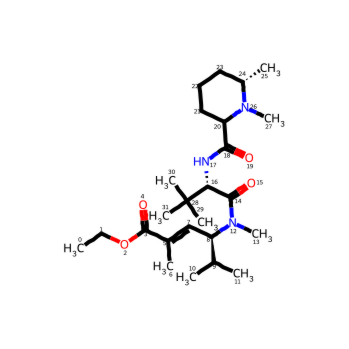 CCOC(=O)/C(C)=C/[C@H](C(C)C)N(C)C(=O)[C@@H](NC(=O)C1CCC[C@H](C)N1C)C(C)(C)C